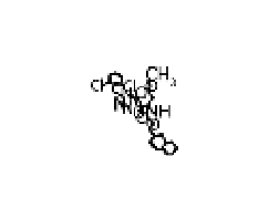 CCOC(=O)CC(NC(=O)OCc1ccc2ccccc2c1)C(=O)Cn1nnc(Cc2c(Cl)cccc2Cl)n1